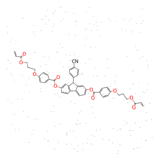 C=CC(=O)OCCCOc1ccc(C(=O)Oc2ccc3c(c2)C(c2ccc(C#N)cc2)c2cc(OC(=O)c4ccc(OCCCOC(=O)C=C)cc4)ccc2-3)cc1